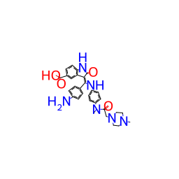 CN1CCN(CC(=O)N(C)c2ccc(N/C(=C3\C(=O)Nc4ccc(C(=O)O)cc43)c3ccc(N)cc3)cc2)CC1